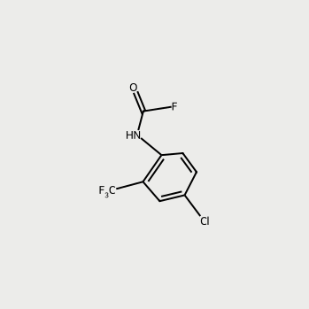 O=C(F)Nc1ccc(Cl)cc1C(F)(F)F